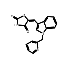 O=C1NC(=O)C(=Cc2cn(Cc3ccccn3)c3ccccc23)S1